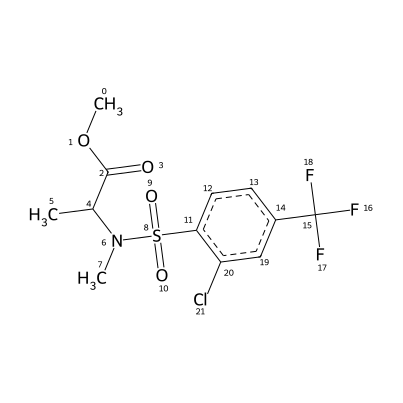 COC(=O)C(C)N(C)S(=O)(=O)c1ccc(C(F)(F)F)cc1Cl